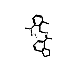 C/C(=N/Cc1c(C)cccc1N(C)N)c1cccc2c1CCC2